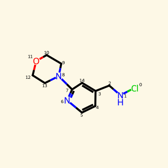 ClNCc1ccnc(N2CCOCC2)c1